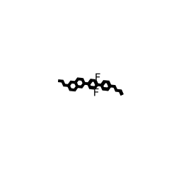 C=CCCc1ccc(-c2c(F)cc(C3CCC4CC(CCC)CCC4C3)cc2F)cc1